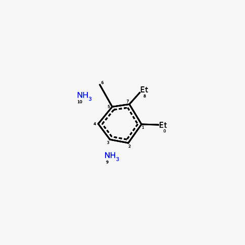 CCc1cccc(C)c1CC.N.N